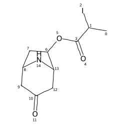 CC(I)C(=O)OC1CC2CC(=O)CC1N2